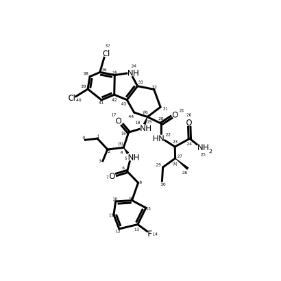 CCC(C)[C@H](NC(=O)Cc1cccc(F)c1)C(=O)N[C@]1(C(=O)NC(C(N)=O)[C@@H](C)CC)CCc2[nH]c3c(Cl)cc(Cl)cc3c2C1